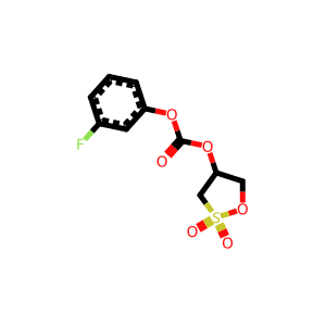 O=C(Oc1cccc(F)c1)OC1COS(=O)(=O)C1